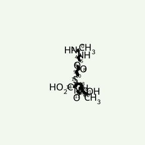 CC(=N)NCCOC(=O)C=CSC1=C(C(=O)O)N2C(=O)[C@H]([C@@H](C)O)[C@H]2C1